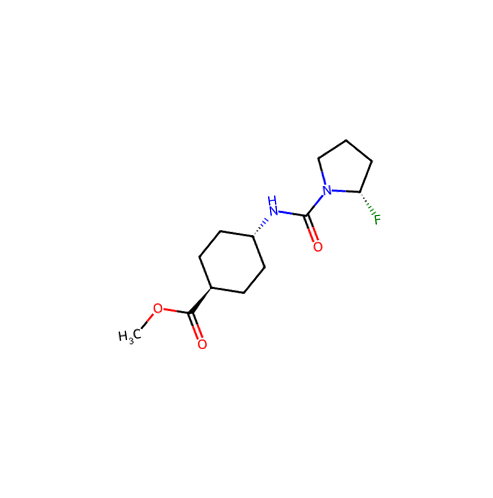 COC(=O)[C@H]1CC[C@H](NC(=O)N2CCC[C@@H]2F)CC1